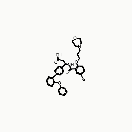 O=C(O)CC(NC(=O)c1cc(Br)ccc1OCCCN1CCOCC1)c1ccc(-c2ccccc2Oc2ccccc2)cc1